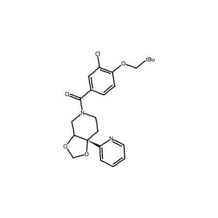 CC(C)(C)COc1ccc(C(=O)N2CC[C@]3(c4ccccn4)OCOC3C2)cc1Cl